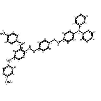 COc1ccc(Nc2ccc(OCc3ccc(COc4ccc(N(c5ccccc5)c5ccccc5)cc4)cc3)c(Nc3ccc(OC)cc3)c2)cc1